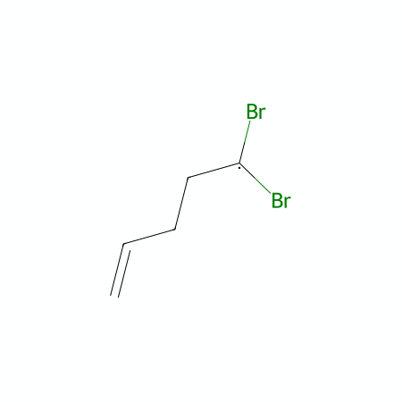 C=CCC[C](Br)Br